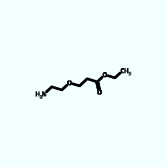 CCOC(=O)CCOCCN